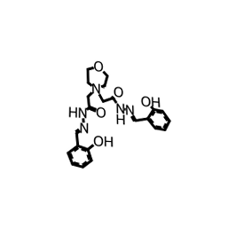 O=C(C[N+]1(CC(=O)N/N=C/c2ccccc2O)CCOCC1)N/N=C/c1ccccc1O